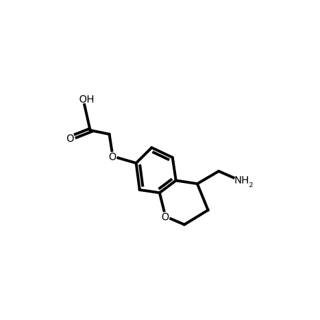 NCC1CCOc2cc(OCC(=O)O)ccc21